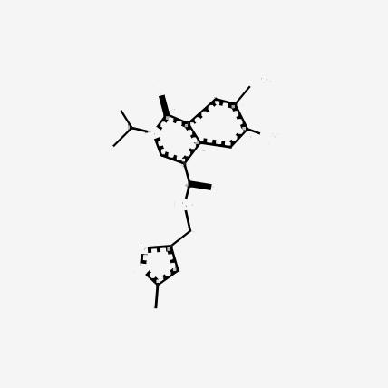 CCC(CC)n1cc(C(=O)NCc2cc(C)on2)c2cc(OC)c(OC)cc2c1=O